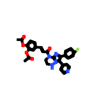 CC(=O)Oc1ccc(C=CC(=O)N2CCNn3c2nc(-c2ccc(F)cc2)c3-c2ccncc2)cc1OC(C)=O